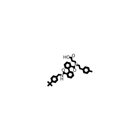 Cc1ccc(CCN(CCC(=O)O)C(=O)c2ccccc2-c2ccccc2C(=O)NCc2ccc(C(C)(C)C)cc2)cc1